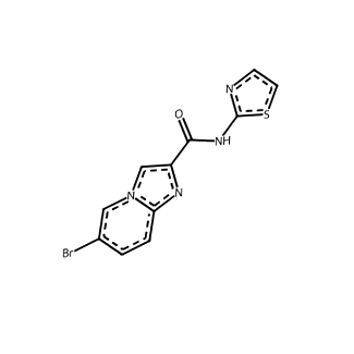 O=C(Nc1nccs1)c1cn2cc(Br)ccc2n1